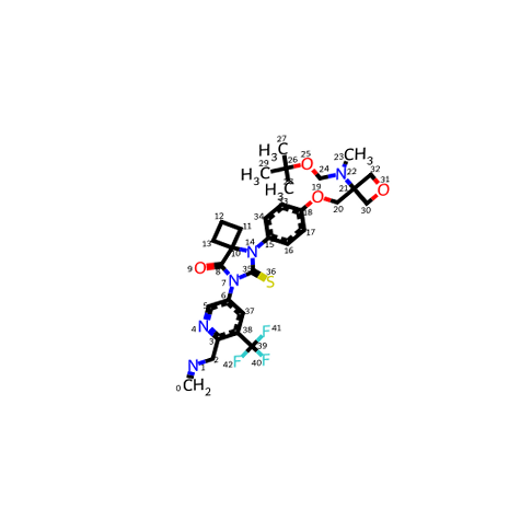 C=NCc1ncc(N2C(=O)C3(CCC3)N(c3ccc(OCC4(N(C)COC(C)(C)C)COC4)cc3)C2=S)cc1C(F)(F)F